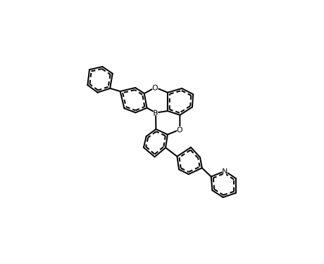 c1ccc(-c2ccc3c(c2)Oc2cccc4c2B3c2cccc(-c3ccc(-c5ccccn5)cc3)c2O4)cc1